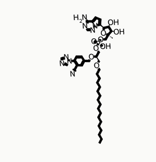 CCCCCCCCCCCCCCCCCCOC[C@H](COP(=O)(O)OC[C@@]1(C)O[C@@H](c2ccc3c(N)ncnn23)[C@H](O)[C@@H]1O)OCc1ccc(-n2cncn2)c(C#N)c1